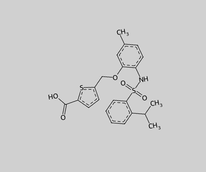 Cc1ccc(NS(=O)(=O)c2ccccc2C(C)C)c(OCc2ccc(C(=O)O)s2)c1